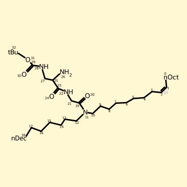 CCCCCCCC/C=C\CCCCCCCCN(CCCCCCCCCCCCCCCC)C(=O)CNC(=O)C(N)CNC(=O)OC(C)(C)C